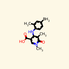 Bc1ccc(Nc2c(C(=O)O)cn(C)c(=O)c2C)c(C)c1